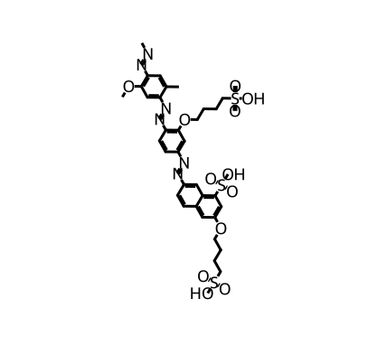 CN=Nc1cc(C)c(N=Nc2ccc(N=Nc3ccc4cc(OCCCCS(=O)(=O)O)cc(S(=O)(=O)O)c4c3)cc2OCCCCS(=O)(=O)O)cc1OC